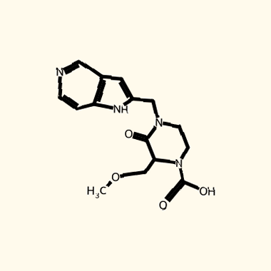 COCC1C(=O)N(Cc2cc3cnccc3[nH]2)CCN1C(=O)O